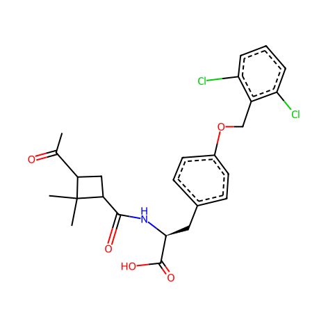 CC(=O)C1CC(C(=O)N[C@@H](Cc2ccc(OCc3c(Cl)cccc3Cl)cc2)C(=O)O)C1(C)C